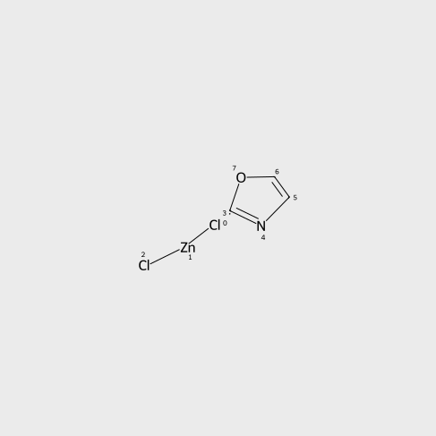 [Cl][Zn][Cl].[c]1ncco1